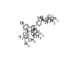 CC(C)(C)OC(=O)N(C(=O)OC(C)(C)C)c1ncc(Br)nc1-c1cc(-c2ccc3c(c2)nnn3C(=O)OC(C)(C)C)no1